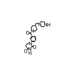 O=C1CCN(c2cccc(C(=O)N3CCC(CN4CCNCC4)CC3)c2)C(=O)N1